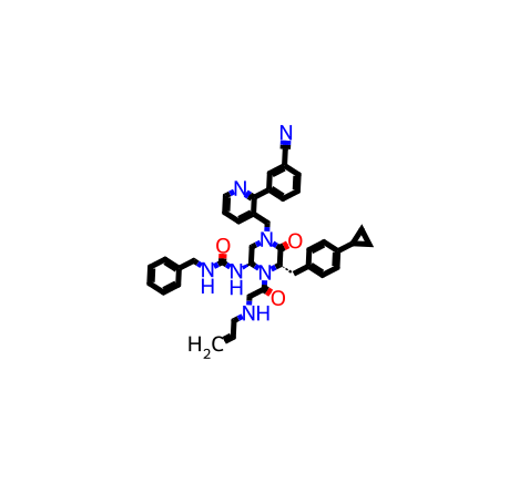 C=CCNCC(=O)N1[C@@H](NC(=O)NCc2ccccc2)CN(Cc2cccnc2-c2cccc(C#N)c2)C(=O)[C@@H]1Cc1ccc(C2CC2)cc1